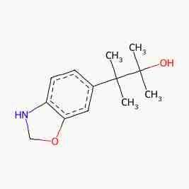 CC(C)(O)C(C)(C)c1ccc2c(c1)OCN2